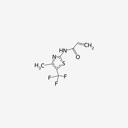 C=CC(=O)Nc1nc(C)c(C(F)(F)F)s1